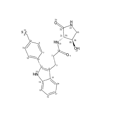 O=C(CCc1c(-c2ccc(C(F)(F)F)cc2)[nH]c2ccccc12)N[C@@H]1C(=O)NC[C@H]1O